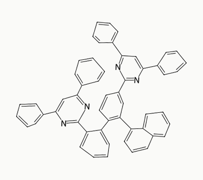 c1ccc(-c2cc(-c3ccccc3)nc(-c3ccc(-c4ccccc4-c4nc(-c5ccccc5)cc(-c5ccccc5)n4)c(-c4cccc5ccccc45)c3)n2)cc1